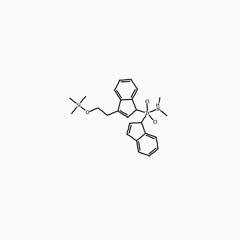 C[SiH](C)[Zr]([Cl])([Cl])([CH]1C=Cc2ccccc21)[CH]1C=C(CCO[Si](C)(C)C)c2ccccc21